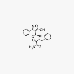 NC(=O)C(=O)C(Cc1ccccc1)NC(=O)c1c(-c2ccccc2)noc1O